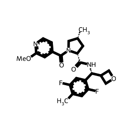 COc1cc(C(=O)N2C[C@H](C)C[C@@H]2C(=O)N[C@@H](c2cc(F)c(C)cc2F)C2COC2)ccn1